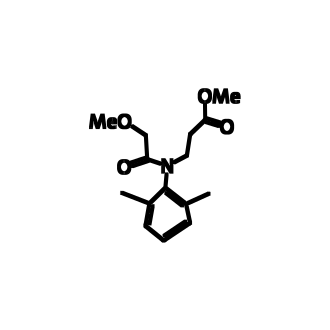 COCC(=O)N(CCC(=O)OC)c1c(C)cccc1C